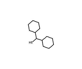 SC(C1CCCCC1)C1CCCCC1